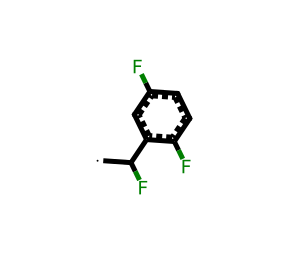 [CH2]C(F)c1cc(F)ccc1F